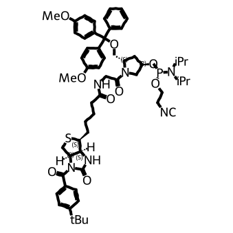 [C-]#[N+]CCOP(O[C@@H]1C[C@@H](COC(c2ccccc2)(c2ccc(OC)cc2)c2ccc(OC)cc2)N(C(=O)CNC(=O)CCCC[C@@H]2SC[C@H]3[C@@H]2NC(=O)N3C(=O)c2ccc(C(C)(C)C)cc2)C1)N(C(C)C)C(C)C